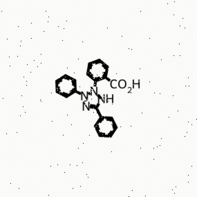 O=C(O)c1ccccc1N1NC(c2ccccc2)=NN1c1ccccc1